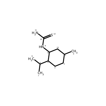 CC1CCC(C(C)C)C(NC(N)=S)C1